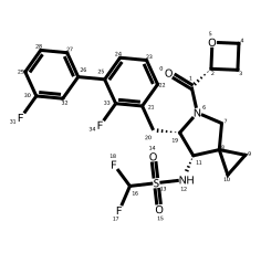 O=C([C@H]1CCO1)N1CC2(CC2)[C@H](NS(=O)(=O)C(F)F)[C@@H]1Cc1cccc(-c2cccc(F)c2)c1F